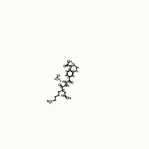 C=O.CCCCC[C@H](CNO)C(=O)NNC(=O)c1ccc2c(c1)CCCN2C(C)=O